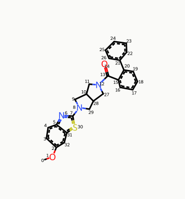 COc1ccc2nc(N3CC4CN(C(=O)c5ccccc5-c5ccccc5)CC4C3)sc2c1